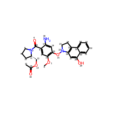 COc1cc(C(=O)N2CCC[C@H]2COC(C)=O)c(N)cc1ON1CCc2c1cc(O)c1ccccc21